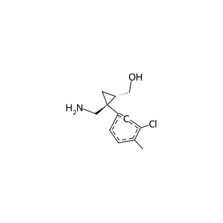 Cc1ccc([C@]2(CN)C[C@@H]2CO)cc1Cl